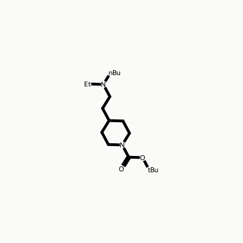 CCCCN(CC)CCC1CCN(C(=O)OC(C)(C)C)CC1